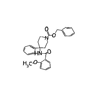 COc1ccccc1C(=O)NC1(c2ccccc2)CCN(C(=O)OCc2ccccc2)CC1